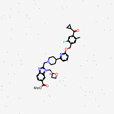 COC(=O)c1ccc2nc(CN3CCC(c4cccc(OCc5cc(C)c(C(=O)C6CC6)cc5F)n4)CC3)n(C[C@@H]3CCO3)c2c1